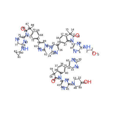 COCCNc1cncc(N2C(=O)C(C)(C)c3ccc(-c4cnc(C)nc4)cc32)n1.Cc1ncc(-c2ccc3c(c2)N(c2cncc(N4CCC(O)CC4)n2)C(=O)C3(C)C)cn1.Cc1ncc(-c2ccc3c(c2)N(c2cncc(NC4CC4)n2)C(=O)C3(C)C)cn1